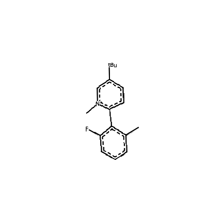 Cc1cccc(F)c1-c1ccc(C(C)(C)C)c[n+]1C